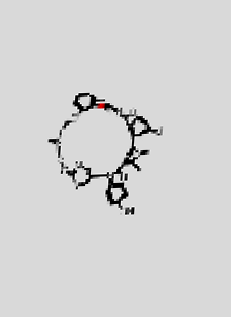 Cc1c2cc(n1C)-c1cc(Cl)ccc1C(=O)N1CCc3c(cccc3OCCN(C)CCOc3ncc(cn3)N(c3ccc(O)cc3)C2=O)C1